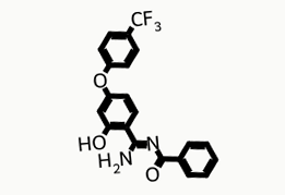 NC(=NC(=O)c1ccccc1)c1ccc(Oc2ccc(C(F)(F)F)cc2)cc1O